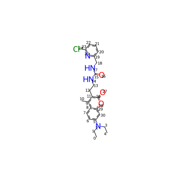 CCN(CC)c1ccc2c(C)c(CCNC(=O)NCc3cccc(Cl)n3)c(=O)oc2c1